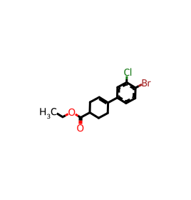 CCOC(=O)C1CC=C(c2ccc(Br)c(Cl)c2)CC1